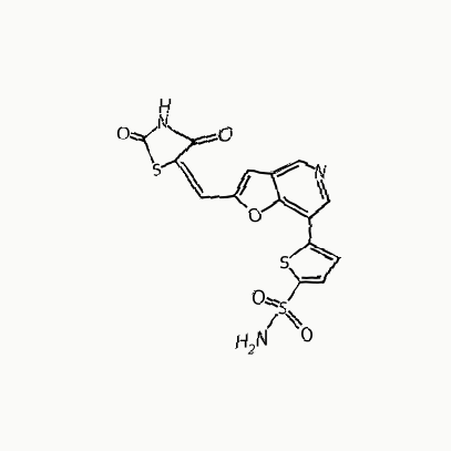 NS(=O)(=O)c1ccc(-c2cncc3cc(C=C4SC(=O)NC4=O)oc23)s1